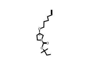 C=CCCCCO[C@@H]1CCN(C(=O)OC(C)(C)CC)C1